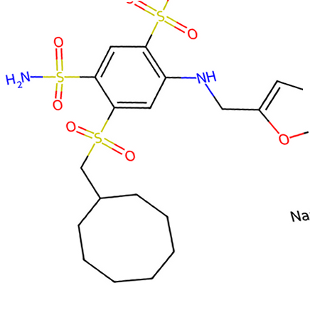 NS(=O)(=O)c1cc(S(=O)(=O)[O-])c(NCc2ccco2)cc1S(=O)(=O)CC1CCCCCCC1.[Na+]